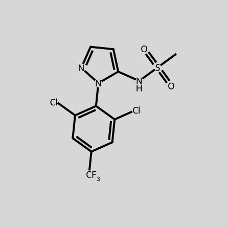 CS(=O)(=O)Nc1ccnn1-c1c(Cl)cc(C(F)(F)F)cc1Cl